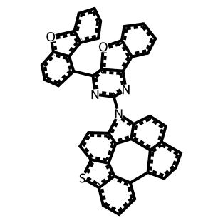 c1cc2c3c(c1)ccc1c3c3c4c(ccc3n1-c1nc(-c3cccc5oc6ccccc6c35)c3oc5ccccc5c3n1)sc1cccc-2c14